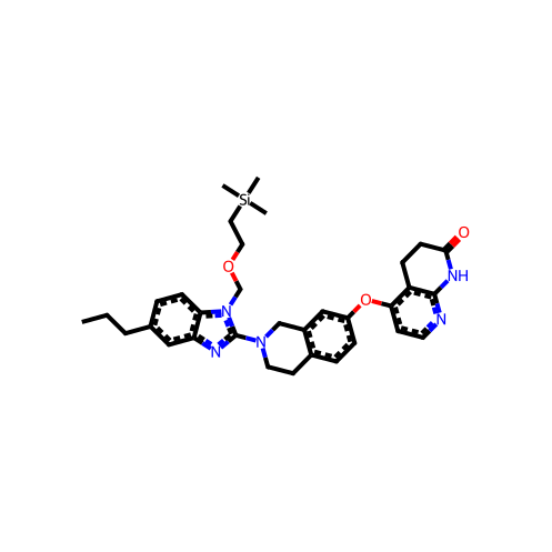 CCCc1ccc2c(c1)nc(N1CCc3ccc(Oc4ccnc5c4CCC(=O)N5)cc3C1)n2COCC[Si](C)(C)C